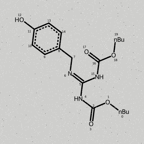 CCCCOC(=O)NC(=NCc1ccc(O)cc1)NC(=O)OCCCC